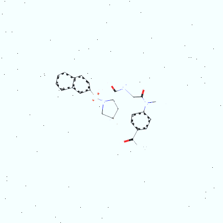 COC(=O)c1ccc(N(C)C(=O)CN(C)C(=O)[C@@H]2C[C@@H](S)CN2S(=O)(=O)c2ccc3ccccc3c2)cc1